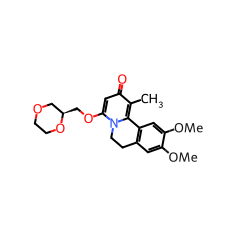 COc1cc2c(cc1OC)-c1c(C)c(=O)cc(OC[C@@H]3COCCO3)n1CC2